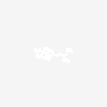 CC[C@@H](C)CCCO[Si](C)(C)C(C)(C)C